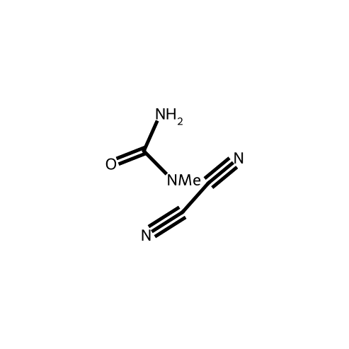 CNC(N)=O.N#CC#N